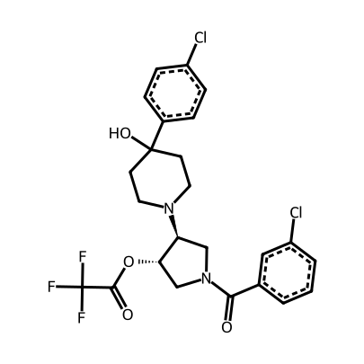 O=C(c1cccc(Cl)c1)N1C[C@H](OC(=O)C(F)(F)F)[C@@H](N2CCC(O)(c3ccc(Cl)cc3)CC2)C1